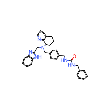 O=C(NCc1ccccc1)NCc1ccc(CN(Cc2nc3ccccc3[nH]2)C2CCCc3cccnc32)cc1